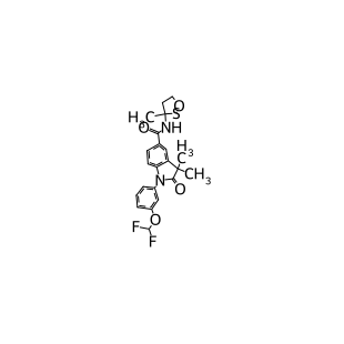 CC1(NC(=O)c2ccc3c(c2)C(C)(C)C(=O)N3c2cccc(OC(F)F)c2)CCOS1